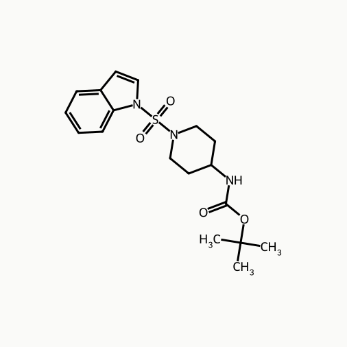 CC(C)(C)OC(=O)NC1CCN(S(=O)(=O)n2ccc3ccccc32)CC1